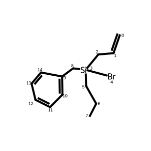 C=CC[Si](Br)(CCC)Cc1ccccc1